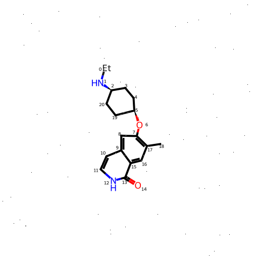 CCN[C@H]1CC[C@@H](Oc2cc3cc[nH]c(=O)c3cc2C)CC1